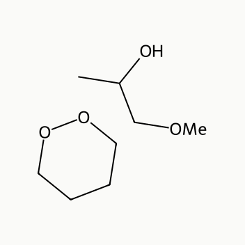 C1CCOOC1.COCC(C)O